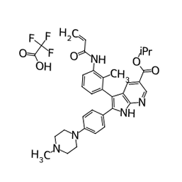 C=CC(=O)Nc1cccc(-c2c(-c3ccc(N4CCN(C)CC4)cc3)[nH]c3ncc(C(=O)OC(C)C)cc23)c1C.O=C(O)C(F)(F)F